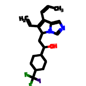 C=CC1=C(/C=C\C)c2cncn2C1CC(O)C1CCC(C(F)(F)I)CC1